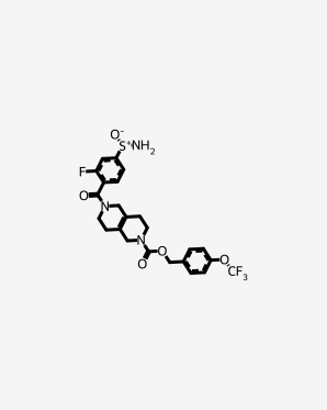 N[S+]([O-])c1ccc(C(=O)N2CCC3=C(CCN(C(=O)OCc4ccc(OC(F)(F)F)cc4)C3)C2)c(F)c1